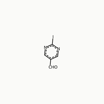 O=Cc1cnc(I)nc1